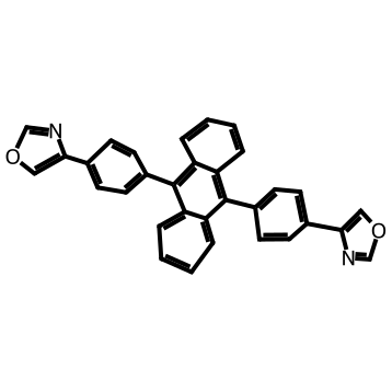 c1ccc2c(-c3ccc(-c4cocn4)cc3)c3ccccc3c(-c3ccc(-c4cocn4)cc3)c2c1